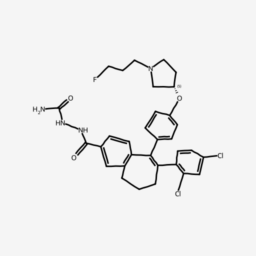 NC(=O)NNC(=O)c1ccc2c(c1)CCCC(c1ccc(Cl)cc1Cl)=C2c1ccc(O[C@H]2CCN(CCCF)C2)cc1